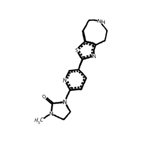 CN1CCN(c2ccc(-c3nc4c(s3)CCNCC4)cn2)C1=O